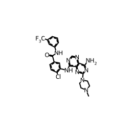 CN1CCN(c2nc(N)c3ncnc(Nc4cc(C(=O)Nc5cccc(C(F)(F)F)c5)ccc4Cl)c3n2)CC1